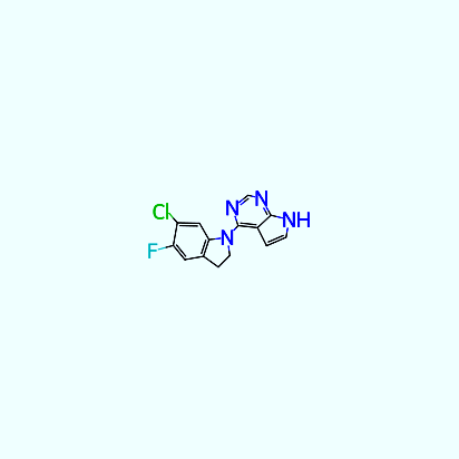 Fc1cc2c(cc1Cl)N(c1ncnc3[nH]ccc13)CC2